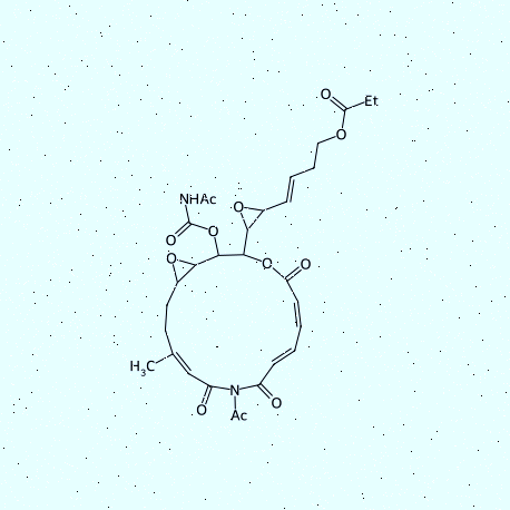 CCC(=O)OCC/C=C/C1OC1C1OC(=O)/C=C\C=C\C(=O)N(C(C)=O)C(=O)/C=C(/C)CCC2OC2C1OC(=O)NC(C)=O